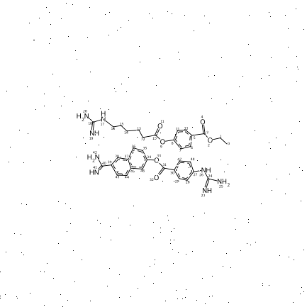 CCOC(=O)c1ccc(OC(=O)CCCCCNC(=N)N)cc1.N=C(N)Nc1ccc(C(=O)Oc2ccc3cc(C(=N)N)ccc3c2)cc1